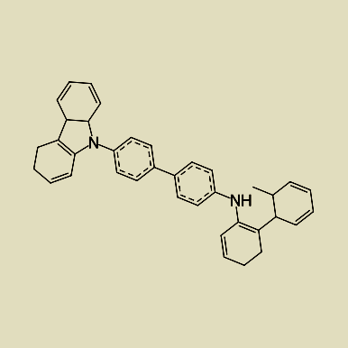 CC1C=CC=CC1C1=C(Nc2ccc(-c3ccc(N4C5=C(CCC=C5)C5C=CC=CC54)cc3)cc2)C=CCC1